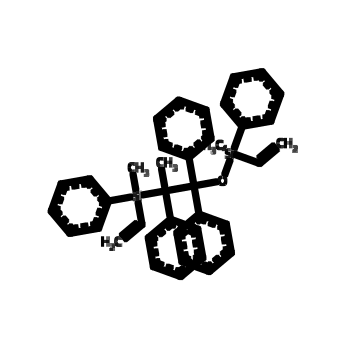 C=C[Si](C)(OC(c1ccccc1)(c1ccccc1)C(C)(c1ccccc1)[Si](C)(C=C)c1ccccc1)c1ccccc1